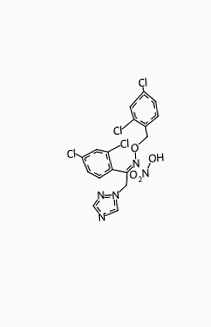 Clc1ccc(CON=C(Cn2cncn2)c2ccc(Cl)cc2Cl)c(Cl)c1.O=[N+]([O-])O